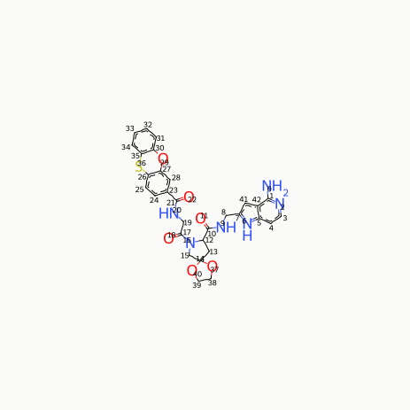 Nc1nccc2[nH]c(CNC(=O)C3CC4(CN3C(=O)CNC(=O)c3ccc5c(c3)Oc3ccccc3S5)OCCO4)cc12